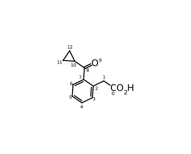 O=C(O)Cc1ccccc1C(=O)C1CC1